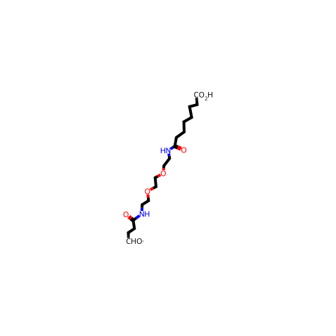 O=[C]CCC(=O)NCCOCCOCCNC(=O)CCCCCCC(=O)O